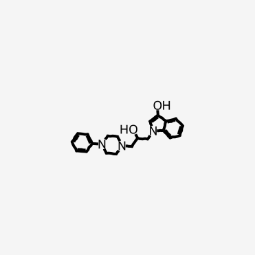 Oc1cn(CC(O)CN2CCN(c3ccccc3)CC2)c2ccccc12